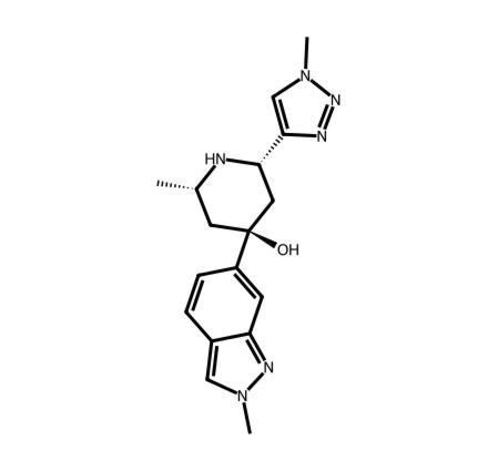 C[C@H]1C[C@@](O)(c2ccc3cn(C)nc3c2)C[C@@H](c2cn(C)nn2)N1